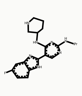 CC(C)Nc1ncc(-c2nc3cc(F)ccc3[nH]2)c(NC2CCCNC2)n1